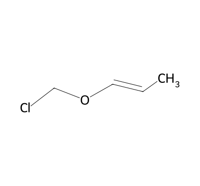 CC=COCCl